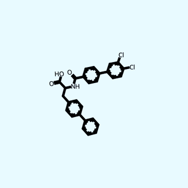 O=C(NC(Cc1ccc(-c2ccccc2)cc1)C(=O)O)c1ccc(-c2ccc(Cl)c(Cl)c2)cc1